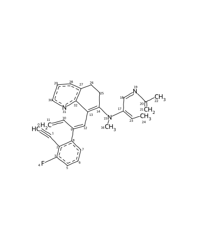 C#Cc1c(F)cccc1/C(C=C)=C/C1=C(N(C)C(/C=N\C(=C)C)=C/C)CCc2cccnc21